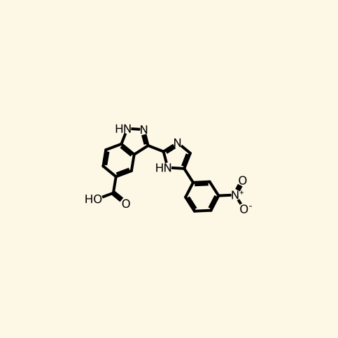 O=C(O)c1ccc2[nH]nc(-c3ncc(-c4cccc([N+](=O)[O-])c4)[nH]3)c2c1